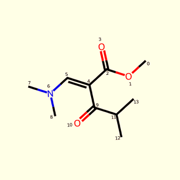 COC(=O)C(=CN(C)C)C(=O)C(C)C